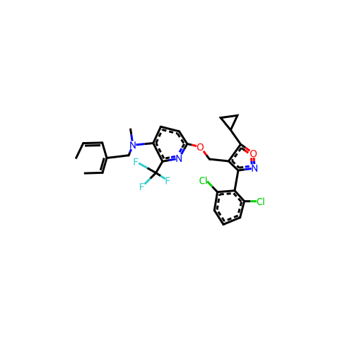 C/C=C\C(=C/C)CN(C)c1ccc(OCc2c(-c3c(Cl)cccc3Cl)noc2C2CC2)nc1C(F)(F)F